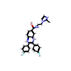 Cc1nccn1CCNC(=O)c1ccc2nc(-c3ccc(F)cc3)c(-c3ccc(F)cc3)nc2c1